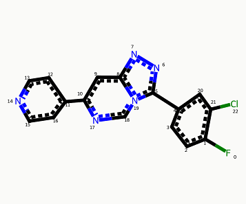 Fc1ccc(-c2nnc3cc(-c4ccncc4)ncn23)cc1Cl